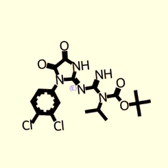 CC(C)N(C(=N)/N=C1\NC(=O)C(=O)N1c1ccc(Cl)c(Cl)c1)C(=O)OC(C)(C)C